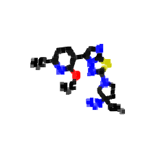 COc1nc(C)ccc1-c1cnc2sc(N3CCC(C)(N)C3)nn12